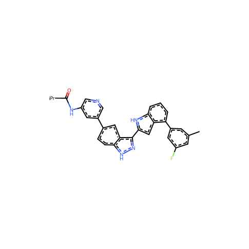 Cc1cc(F)cc(-c2cccc3[nH]c(-c4n[nH]c5ccc(-c6cncc(NC(=O)C(C)C)c6)cc45)cc23)c1